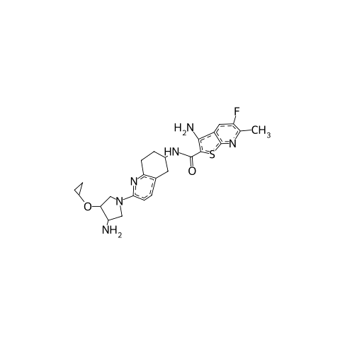 Cc1nc2sc(C(=O)NC3CCc4nc(N5CC(N)C(OC6CC6)C5)ccc4C3)c(N)c2cc1F